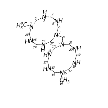 CN1CNCNCN(CN2CNCNCN(C)CNCNC2)CNCNC1